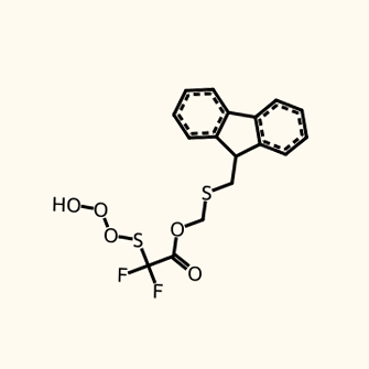 O=C(OCSCC1c2ccccc2-c2ccccc21)C(F)(F)SOOO